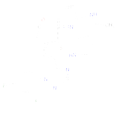 CC(Nc1ccc2c(n1)-c1sc(-c3ncnn3-c3ccc(F)cc3F)cc1CCO2)C1CCNCC1